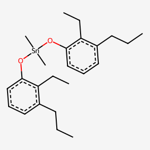 CCCc1cccc([O][Sn]([CH3])([CH3])[O]c2cccc(CCC)c2CC)c1CC